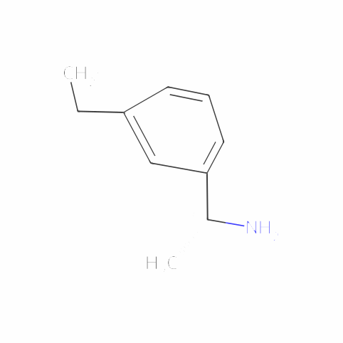 [CH2]Cc1cccc([C@@H](C)N)c1